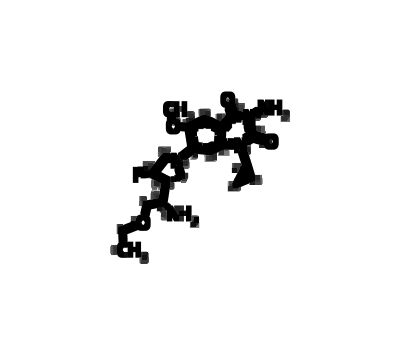 CCOC[C@@H](N)[C@H]1CN(c2cc3c(cc2OC)c(=O)n(N)c(=O)n3C2CC2)C[C@@H]1F